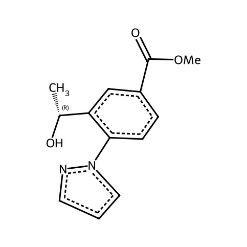 COC(=O)c1ccc(-n2cccn2)c([C@@H](C)O)c1